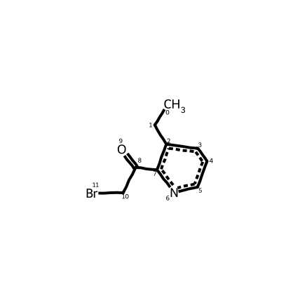 CCc1cccnc1C(=O)CBr